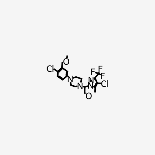 COCc1cc(N2CCN(C(C=O)n3nc(C(F)(F)F)c(Cl)c3C)CC2)ccc1Cl